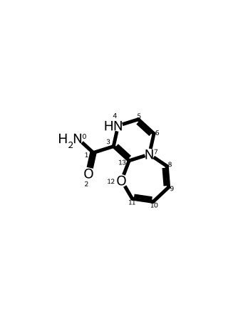 NC(=O)c1[nH]ccn2ccccoc1-2